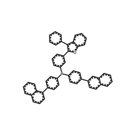 c1ccc(-c2c(-c3cccc(N(c4ccc(-c5ccc6ccccc6c5)cc4)c4ccc(-c5cccc6ccccc56)cc4)c3)oc3ccccc23)cc1